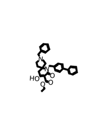 CCOC(=O)C1=C(O)CC2(CCN(Cc3ccccc3)CC2)N(Cc2ccc(-c3ccccc3)cc2)C1=O